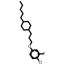 CCCCCC1CCC(CCCOc2ccc(Cl)c(F)c2)CC1